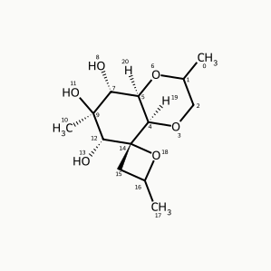 CC1CO[C@@H]2[C@H](O1)[C@@H](O)[C@](C)(O)[C@@H](O)[C@]21CC(C)O1